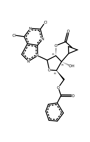 CC(=O)O[C@H]1C(n2ncc3c(Cl)nc(Cl)nc32)O[C@H](COC(=O)c2ccccc2)[C@]1(O)C1CC1